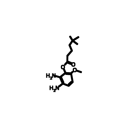 COc1ccc(N)c(N)c1OC(=O)CCCC(C)(C)C